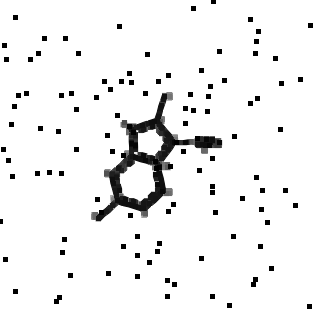 COc1c(C)nc2cc(C)ccn12